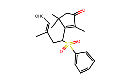 CC(=CC=O)CC(C1=C(C)C(=O)CC1(C)C)S(=O)(=O)c1ccccc1